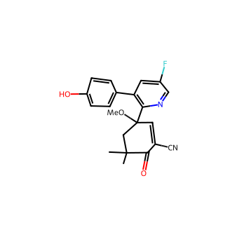 COC1(c2ncc(F)cc2-c2ccc(O)cc2)C=C(C#N)C(=O)C(C)(C)C1